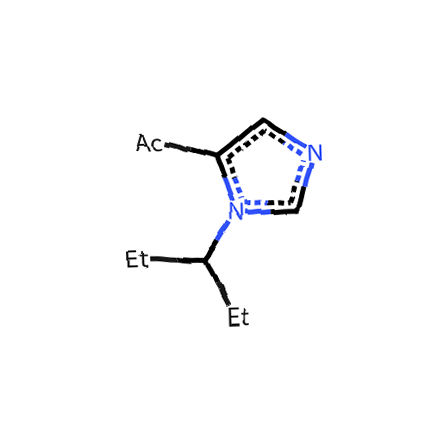 CCC(CC)n1cncc1C(C)=O